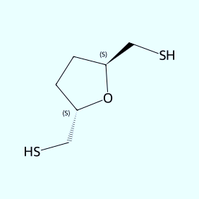 SC[C@@H]1CC[C@@H](CS)O1